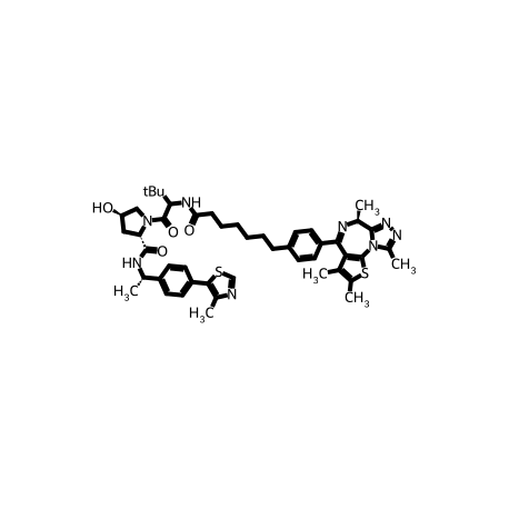 Cc1ncsc1-c1ccc([C@H](C)NC(=O)[C@@H]2C[C@@H](O)CN2C(=O)C(NC(=O)CCCCCCc2ccc(C3=N[C@@H](C)c4nnc(C)n4-c4sc(C)c(C)c43)cc2)C(C)(C)C)cc1